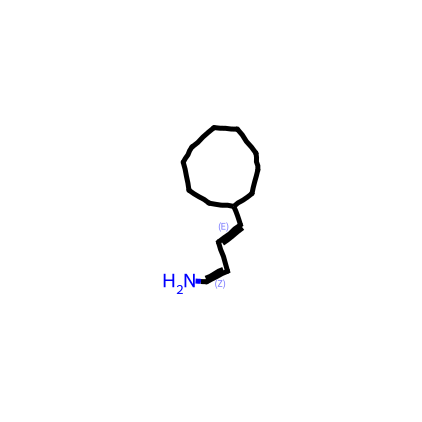 N/C=C\C=C\C1CCCCCCCCC1